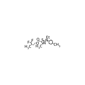 CCN(c1ccc(C)cc1)c1nc(C)c(C(=O)OCCC(C)=C(F)F)s1